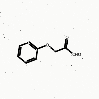 O=CC(=O)COc1[c]cccc1